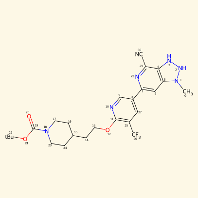 CN1NNc2c1cc(-c1cnc(OCCC3CCN(C(=O)OC(C)(C)C)CC3)c(C(F)(F)F)c1)nc2C#N